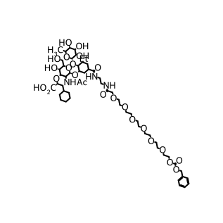 CCC1CC(C(=O)NCCNC(=O)COCCOCCOCCOCCOCCOCCOC(=O)OCc2ccccc2)C[C@@H](O[C@@H]2OC(CO)[C@H](O)C(O[C@@H](CC3CCCCC3)C(=O)O)C2NC(C)=O)C1O[C@@H]1OC(C)[C@@H](O)C(O)C1O